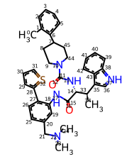 Cc1ccccc1C1CCN(C(=O)N[C@@H](C(=O)Nc2cc(CN(C)C)ccc2-c2cccs2)[C@H](C)c2c[nH]c3ccccc23)CC1